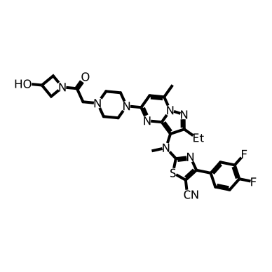 CCc1nn2c(C)cc(N3CCN(CC(=O)N4CC(O)C4)CC3)nc2c1N(C)c1nc(-c2ccc(F)c(F)c2)c(C#N)s1